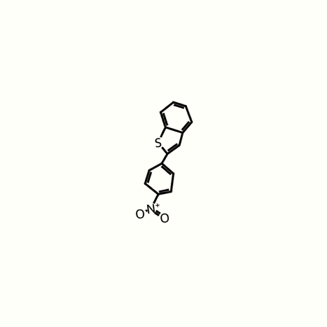 O=[N+]([O-])c1ccc(-c2cc3ccccc3s2)cc1